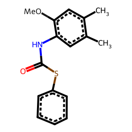 COc1cc(C)c(C)cc1NC(=O)Sc1ccccc1